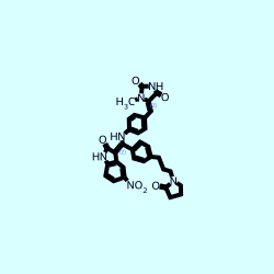 CN1C(=O)NC(=O)/C1=C/c1ccc(N/C(=C2\C(=O)Nc3ccc([N+](=O)[O-])cc32)c2ccc(CCCN3CCCC3=O)cc2)cc1